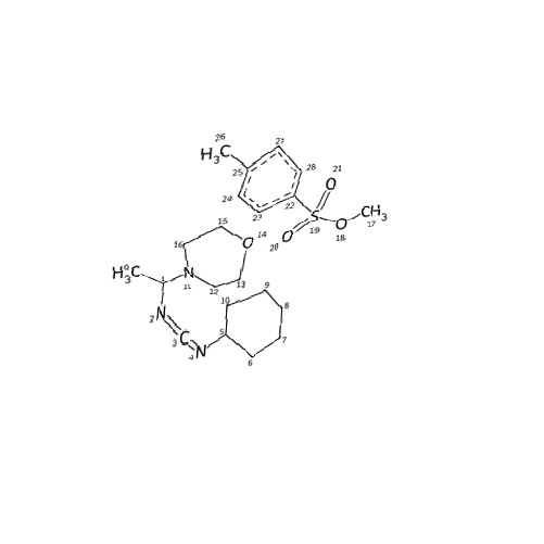 CC(N=C=NC1CCCCC1)N1CCOCC1.COS(=O)(=O)c1ccc(C)cc1